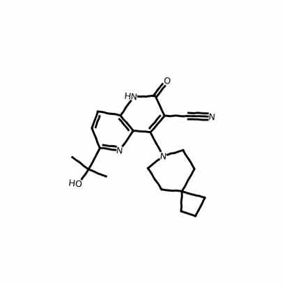 CC(C)(O)c1ccc2[nH]c(=O)c(C#N)c(N3CCC4(CCC4)CC3)c2n1